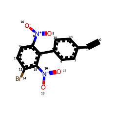 C#Cc1ccc(-c2c([N+](=O)[O-])ccc(Br)c2[N+](=O)[O-])cc1